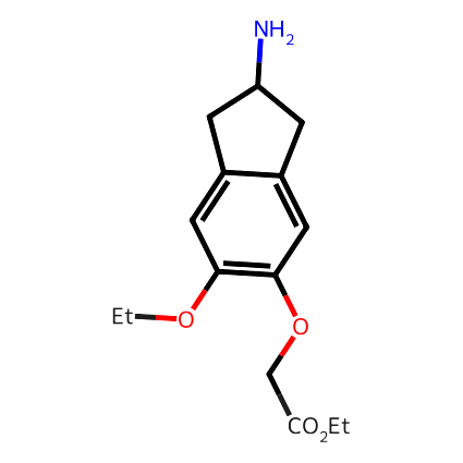 CCOC(=O)COc1cc2c(cc1OCC)CC(N)C2